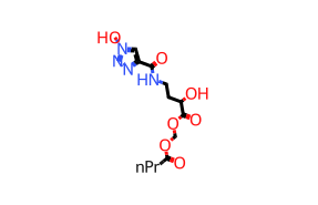 CCCC(=O)OCOC(=O)C(O)CCNC(=O)c1cn(O)nn1